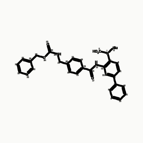 CC(C)(C)N(C(=O)O)c1ccc(-c2ccccc2)nc1NC(=O)c1ccc(CNC(=O)OCc2cccnc2)cc1